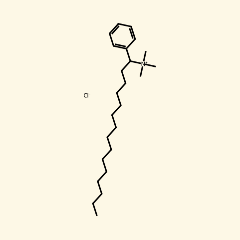 CCCCCCCCCCCCCCC(c1ccccc1)[N+](C)(C)C.[Cl-]